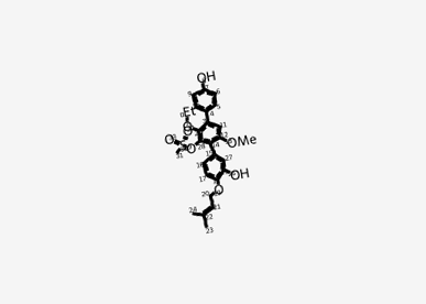 CCOc1c(-c2ccc(O)cc2)cc(OC)c(-c2ccc(OCC=C(C)C)c(O)c2)c1OS(C)(=O)=O